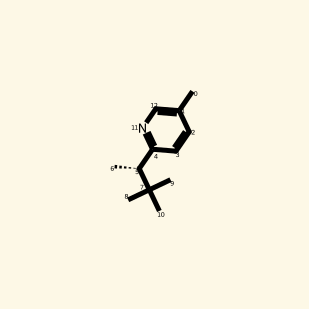 Cc1ccc([C@@H](C)C(C)(C)C)nc1